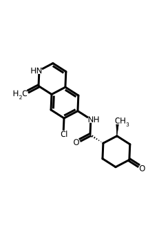 C=C1NC=Cc2cc(NC(=O)[C@H]3CCC(=O)C[C@@H]3C)c(Cl)cc21